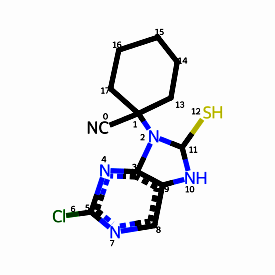 N#CC1(N2c3nc(Cl)ncc3NC2S)CCCCC1